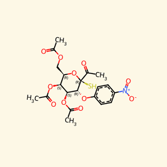 CC(=O)OC[C@H]1O[C@](S)(C(C)=O)[C@H](Oc2ccc([N+](=O)[O-])cc2)[C@@H](OC(C)=O)[C@H]1OC(C)=O